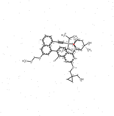 COCOc1cc(-c2ccc3c(N4CCC[C@@](C)(O)C4)nc(OCC4(CO)CC4)nc3c2F)c2c(C#C[Si](C(C)C)(C(C)C)C(C)C)cccc2c1